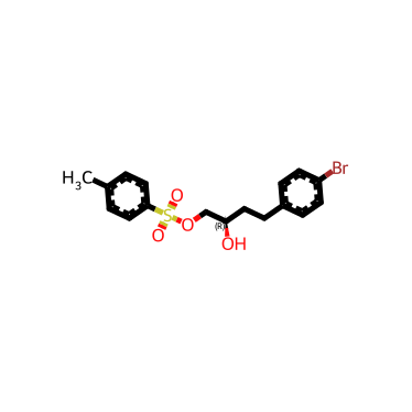 Cc1ccc(S(=O)(=O)OC[C@H](O)CCc2ccc(Br)cc2)cc1